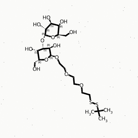 CC(C)(C)SSCCOCCOCCO[C@H]1O[C@H](CO)[C@H](O)[C@H](O[C@H]2O[C@H](CO)[C@H](O)[C@H](O)[C@H]2O)[C@H]1O